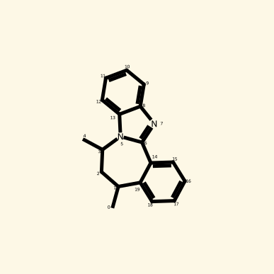 CC1CC(C)n2c(nc3ccccc32)-c2ccccc21